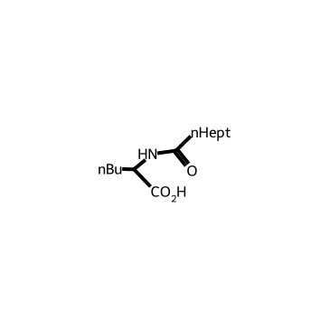 CCCCCCCC(=O)NC(CCCC)C(=O)O